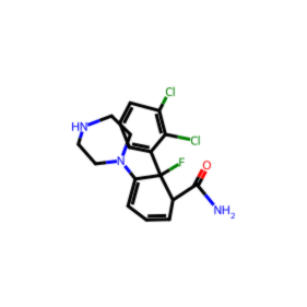 NC(=O)C1C=CC=C(N2CCNCC2)C1(F)c1cccc(Cl)c1Cl